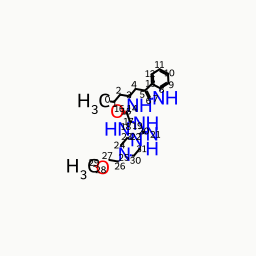 CCCC(Cc1c[nH]c2ccccc12)NC(=O)C(=N)NC(=N)N1CCN(CCOC)CC1